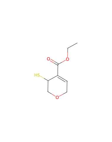 CCOC(=O)C1=CCOCC1S